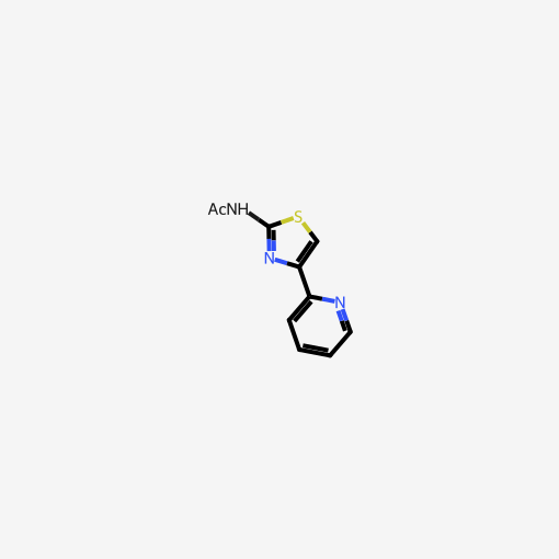 CC(=O)Nc1nc(-c2ccccn2)cs1